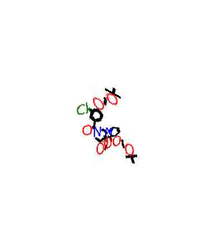 CC(C)(C)OCCOc1ccc(C(=O)N2CC[C@]3(C4(C)N=CC=CC4OCCOC(C)(C)C)OCOC3C2)cc1Cl